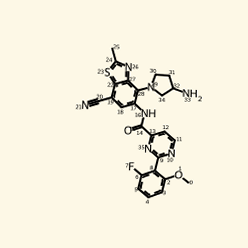 COc1cccc(F)c1-c1nccc(C(=O)Nc2cc(C#N)c3sc(C)nc3c2N2CCC(N)C2)n1